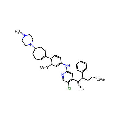 C=C(c1cc(Nc2ccc(C3=CCCC(N4CCN(C)CC4)CC3)c(OC)c2)ncc1Cl)C(CCOC)c1ccccc1